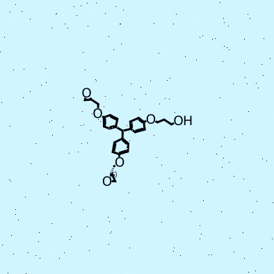 OCCCOc1ccc(C(c2ccc(OCC3CO3)cc2)c2ccc(OC[C@@H]3CO3)cc2)cc1